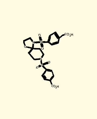 O=C(O)c1ccc(S(=O)(=O)N2CCC3(CC2)OCCN3S(=O)(=O)c2ccc(C(=O)O)cc2)cc1